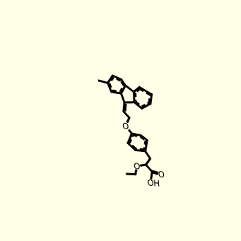 CCOC(Cc1ccc(OC/C=C2\c3ccccc3-c3ccc(C)cc32)cc1)C(=O)O